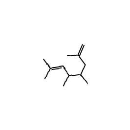 C=C(C)C[C](C)C(C)C=C(C)C